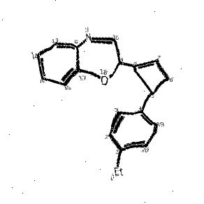 CCc1ccc(C2CC=C2C2C=Nc3ccccc3O2)cc1